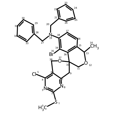 CSc1nc(Cl)c2c(n1)CC1(COC(C)c3ccc(N(Cc4ccccc4)Cc4ccccc4)c(Br)c31)OC2